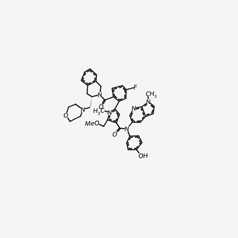 COCc1c(C(=O)N(c2ccc(O)cc2)c2cnc3c(ccn3C)c2)cc(-c2cc(F)ccc2C(=O)N2Cc3ccccc3C[C@H]2CN2CCOCC2)n1C